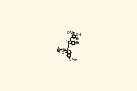 COc1ccc2c(c1)CCN(OCCN1C(=O)C(=Cc3cc(Br)c(O)c(OC)c3)c3cc(Br)ccc31)C2(C)CC(=O)Nc1nccs1